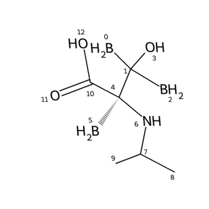 BC(B)(O)[C@@](B)(NC(C)C)C(=O)O